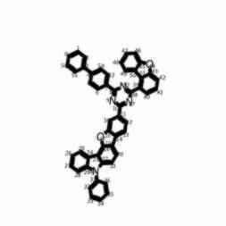 c1ccc(-c2ccc(-c3nc(-c4ccc5c(c4)oc4c5ccc5c4c4ccccc4n5-c4ccccc4)nc(-c4cccc5oc6ccccc6c45)n3)cc2)cc1